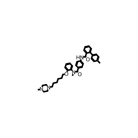 Cc1ccc(-c2ccccc2C(=O)Nc2ccc(C(=O)N(C)c3ccccc3OCCCCCCN3CCN(C)CC3)cc2)cc1